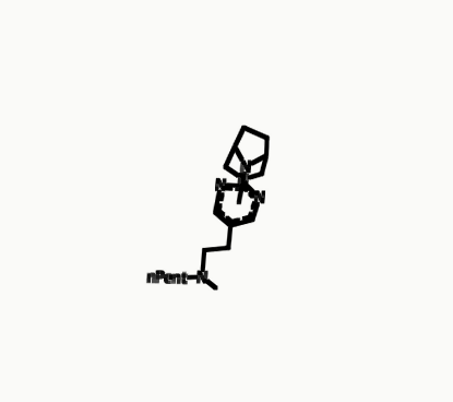 CCCCCN(C)CCc1cnc(N2C3CCC2CN(C)C3)nc1